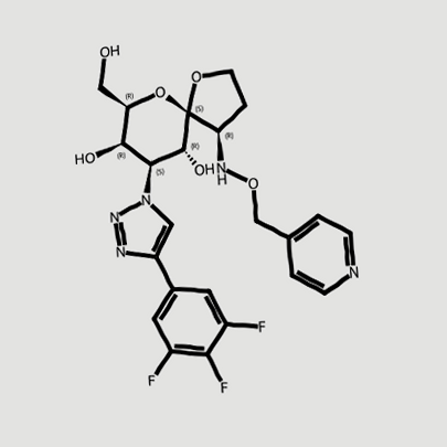 OC[C@H]1O[C@]2(OCC[C@H]2NOCc2ccncc2)[C@H](O)[C@@H](n2cc(-c3cc(F)c(F)c(F)c3)nn2)[C@H]1O